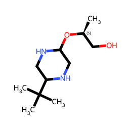 C[C@@H](CO)OC1CNC(C(C)(C)C)CN1